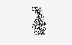 CCc1nc2c(F)ccc(OCC(=O)OC)c2c(OC(F)F)c1Cc1ccc(-n2ccc(Cl)n2)cc1